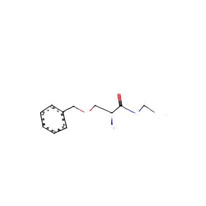 N[C@@H](COCc1ccccc1)C(=O)NCC(=O)O